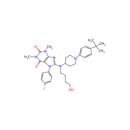 Cn1c(=O)c2c(nc(N(CCCCO)C3CCN(c4ccc(C(C)(C)C)cc4)CC3)n2-c2ccc(F)cc2)n(C)c1=O